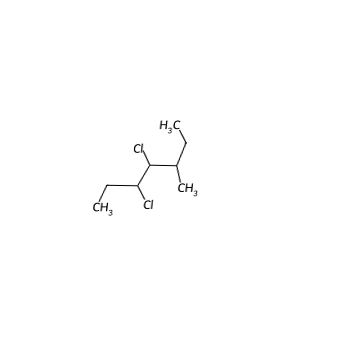 CCC(C)C(Cl)C(Cl)CC